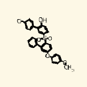 COc1ccc(Oc2ccc(S(=O)(=O)c3ccc(O)c(-c4ccc(Cl)cc4)c3)c(-c3ccccc3)c2)cc1